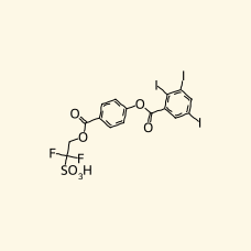 O=C(OCC(F)(F)S(=O)(=O)O)c1ccc(OC(=O)c2cc(I)cc(I)c2I)cc1